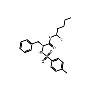 CCCCC(Cl)OC(=O)[C@H](Cc1ccccc1)NS(=O)(=O)c1ccc(C)cc1